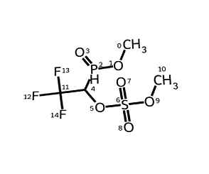 CO[PH](=O)C(OS(=O)(=O)OC)C(F)(F)F